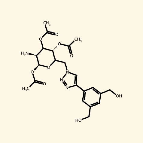 CC(=O)OC1[C@H](OC(C)=O)C(Cn2cc(-c3cc(CO)cc(CO)c3)nn2)O[C@@H](OC(C)=O)[C@H]1N